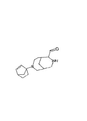 O=CC1NCC2CC1CN(C13C=CC(CC1)C3)C2